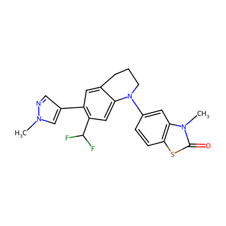 Cn1cc(-c2cc3c(cc2C(F)F)N(c2ccc4sc(=O)n(C)c4c2)CCC3)cn1